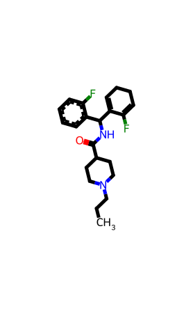 CCCN1CCC(C(=O)NC(C2=CCCC=C2F)c2ccccc2F)CC1